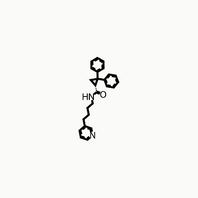 O=C(NCCCCc1cccnc1)[C@@H]1CC1(c1ccccc1)c1ccccc1